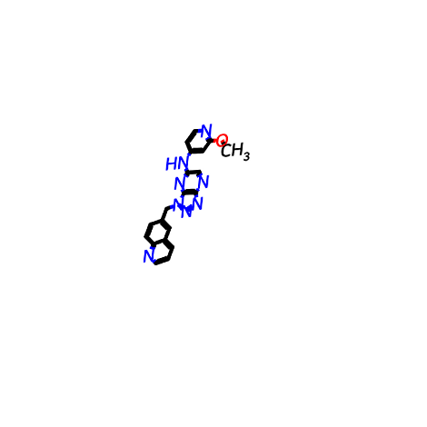 COc1cc(Nc2cnc3nnn(Cc4ccc5ncccc5c4)c3n2)ccn1